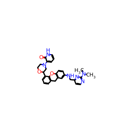 CN(C)c1nccc(CNc2ccc3c(c2)Cc2cccc(C4CN(c5ccc[nH]c5=O)CCO4)c2O3)n1